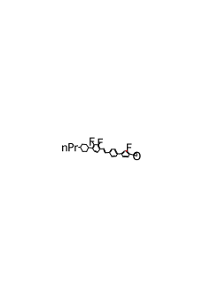 CCCC1CCC(c2ccc(/C=C/c3ccc(-c4ccc(C5CO5)c(F)c4)cc3)c(F)c2F)CC1